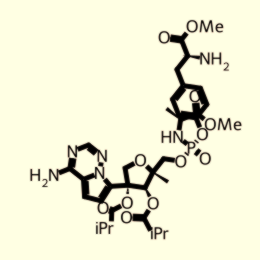 COC(=O)[C@H](C)NP(=O)(OC[C@@]1(C)OC[C@](OC(=O)C(C)C)(c2ccc3c(N)ncnn23)[C@@H]1OC(=O)C(C)C)Oc1ccc(C[C@H](N)C(=O)OC)cc1